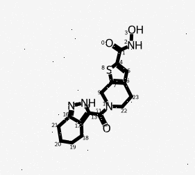 O=C(NO)c1cc2c(s1)CN(C(=O)c1[nH]nc3c1CCCC3)CC2